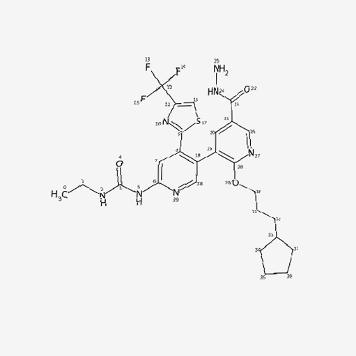 CCNC(=O)Nc1cc(-c2nc(C(F)(F)F)cs2)c(-c2cc(C(=O)NN)cnc2OCCCC2CCCC2)cn1